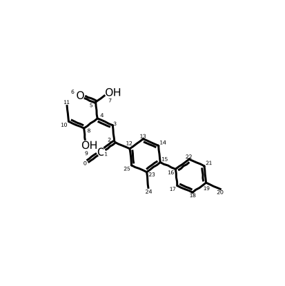 C=C=C(/C=C(C(=O)O)\C(O)=C/C)c1ccc(-c2ccc(C)cc2)c(C)c1